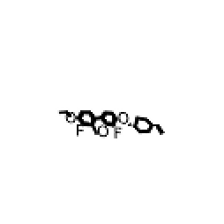 C=C[C@H]1CC[C@H](COc2ccc3c(c2F)OCc2c-3ccc(OCC)c2F)CC1